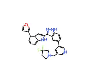 FC1(F)CCN(Cc2cncc(-c3ccc4[nH]nc(-c5cc6c(-c7ccoc7)cccc6[nH]5)c4c3)c2)C1